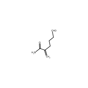 C=C(CCCC=O)C(N)=O